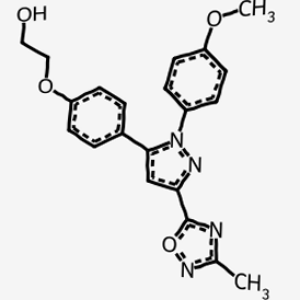 COc1ccc(-n2nc(-c3nc(C)no3)cc2-c2ccc(OCCO)cc2)cc1